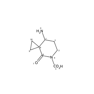 NC1CCN(C(=O)O)C(=O)C12CC2